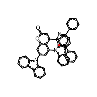 O=c1cc(-c2nc(-c3ccccc3)nc(-c3ccccc3)n2)c2c(-n3c4ccccc4c4ccccc43)cc(-n3c4ccccc4c4ccccc43)cc2o1